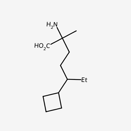 CCC(CCC(C)(N)C(=O)O)C1CCC1